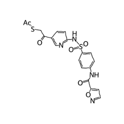 CC(=O)SCC(=O)c1ccc(NS(=O)(=O)c2ccc(NC(=O)c3ccno3)cc2)nc1